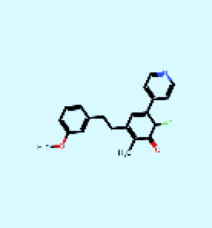 [CH2]C1=C(CCc2cccc(OC)c2)C=C(c2ccncc2)C(F)C1=O